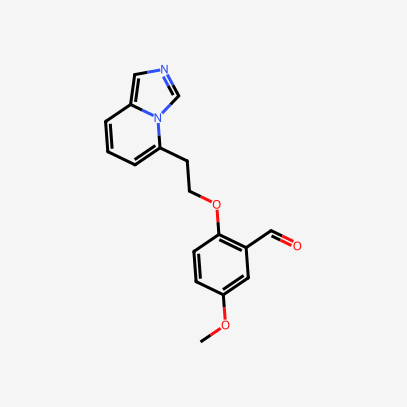 COc1ccc(OCCc2cccc3cncn23)c(C=O)c1